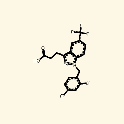 O=C(O)CCc1nn(Cc2ccc(Cl)cc2Cl)c2ccc(C(F)(F)F)cc12